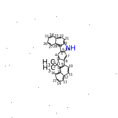 CC1(C)c2cc3c(cc2-c2ccc4ccccc4c21)[nH]c1ccc2ccccc2c13